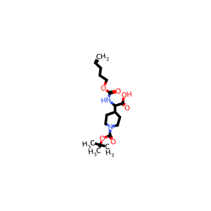 C=CCCCOC(=O)NC(C(=O)O)C1CCN(C(=O)OC(C)(C)C)CC1